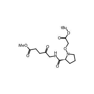 COC(=O)CCC(=O)CNC(=O)[C@@H]1CCCN1OCC(=O)OC(C)(C)C